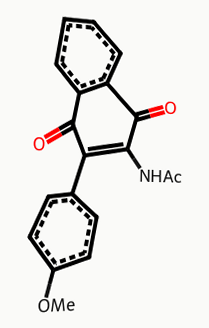 COc1ccc(C2=C(NC(C)=O)C(=O)c3ccccc3C2=O)cc1